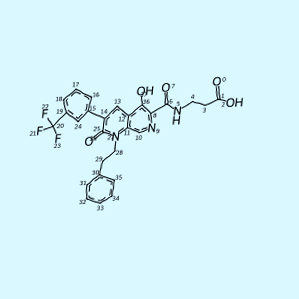 O=C(O)CCNC(=O)c1ncc2c(cc(-c3cccc(C(F)(F)F)c3)c(=O)n2CCc2ccccc2)c1O